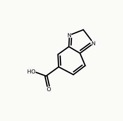 O=C(O)c1ccc2c(c1)=NCN=2